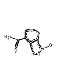 NC(=O)c1cccc2c1no[n+]2[O-]